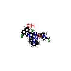 Cc1c(F)ccc2cc(O)cc(-c3nc4c5c(nc(OC[C@@]67CCCN6[C@H](CF)CC7)nc5c3F)N3C[C@H]5CC[C@H](N5)[C@H]3CC4)c12